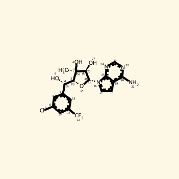 C[C@@]1(O)[C@@H]([C@@H](O)c2cc(Cl)cc(C(F)(F)F)c2)O[C@@H](n2ccc3c(N)ncnc32)[C@@H]1O